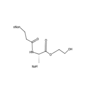 CCCCCCCCCCCC(=O)N[C@@H](C)C(=O)OCCO.[NaH]